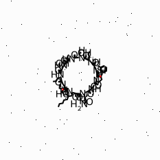 C/C=C1\NC(=O)[C@H](CO)NC(=O)[C@@H]([C@@H](C)CC)NC(=O)[C@H](Cc2ccccc2)NC(=O)[C@@H]2CCCN2C(=O)CNC(=O)[C@@H](CCC(N)=O)NC(=O)C(O)C(CC(O)CCCCC)NC(=O)[C@@H]2CCCN2C(=O)[C@@H]([C@@H](C)CC)NC(=O)[C@H](CO)NC1=O